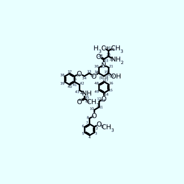 COc1ccccc1COCCCOc1ccc([C@H]2[C@H](O)CN(C(=O)C(N)C(C)C)C[C@@H]2OCCOc2ccccc2CCNC(C)=O)cc1